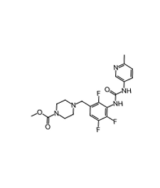 COC(=O)N1CCN(Cc2cc(F)c(F)c(NC(=O)Nc3ccc(C)nc3)c2F)CC1